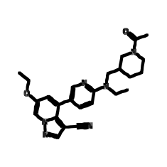 CCOc1cc(-c2ccc(N(CC)CC3CCCN(C(C)=O)C3)nc2)c2c(C#N)cnn2c1